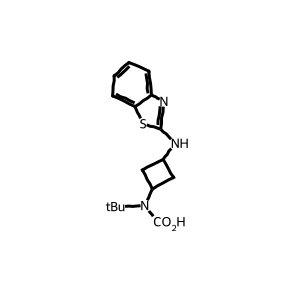 CC(C)(C)N(C(=O)O)C1CC(Nc2nc3ccccc3s2)C1